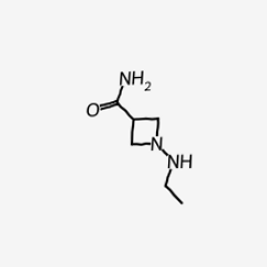 CCNN1CC(C(N)=O)C1